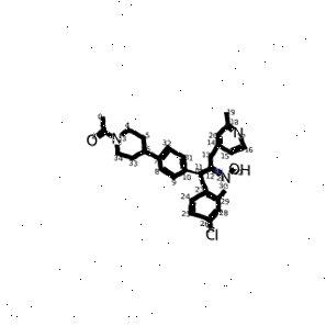 CC(=O)N1CCC(c2ccc([C@@H](/C(Cc3ccnc(C)c3)=N/O)c3ccc(Cl)cc3C)cc2)CC1